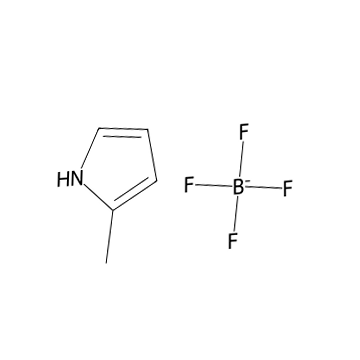 Cc1ccc[nH]1.F[B-](F)(F)F